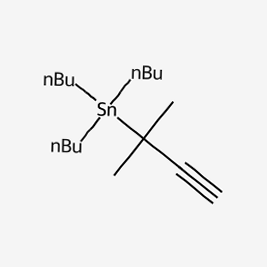 C#C[C](C)(C)[Sn]([CH2]CCC)([CH2]CCC)[CH2]CCC